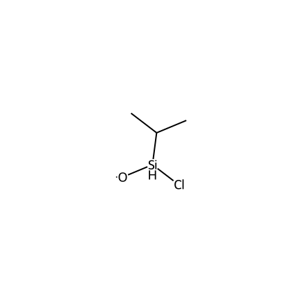 CC(C)[SiH]([O])Cl